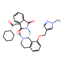 CNC(=O)[C@H]1CCCC[C@H]1C(=O)N1CCc2cccc(OCc3cnn(C)c3)c2[C@H]1CN1C(=O)c2ccccc2C1=O